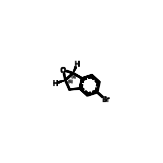 Brc1ccc2c(c1)C[C@@H]1O[C@H]21